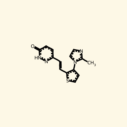 Cc1nccn1-c1ccsc1C=Cc1ccc(=O)[nH]n1